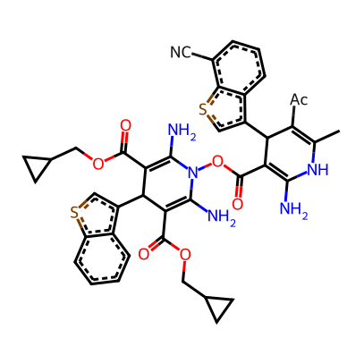 CC(=O)C1=C(C)NC(N)=C(C(=O)ON2C(N)=C(C(=O)OCC3CC3)C(c3csc4ccccc34)C(C(=O)OCC3CC3)=C2N)C1c1csc2c(C#N)cccc12